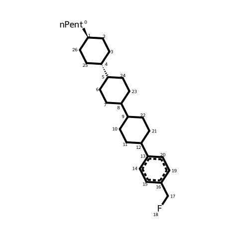 CCCCC[C@H]1CC[C@H](C2CCC(C3CCC(c4ccc(CF)cc4)CC3)CC2)CC1